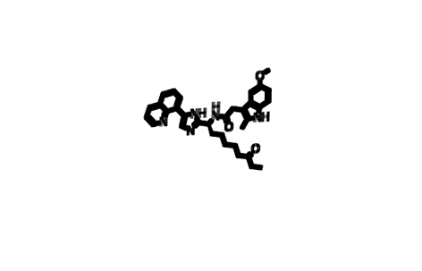 CCC(=O)CCCCC[C@H](NC(=O)Cc1c(C)[nH]c2ccc(OC)cc12)c1ncc(-c2cccc3cccnc23)[nH]1